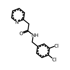 O=C(Cc1ccccn1)NCc1ccc(Cl)c(Cl)c1